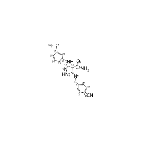 N#Cc1ccc(/C=N/c2[nH]nc(Nc3cccc(CI)c3)c2C(N)=O)cc1